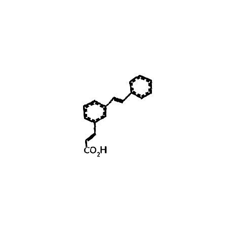 O=C(O)C=Cc1cccc(C=Cc2ccccc2)c1